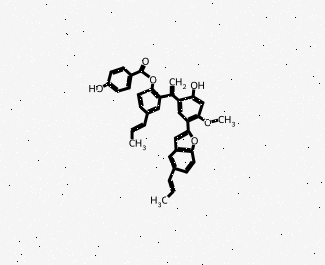 C=C(c1cc(-c2cc3cc(/C=C/C)ccc3o2)c(OC)cc1O)c1cc(/C=C/C)ccc1OC(=O)c1ccc(O)cc1